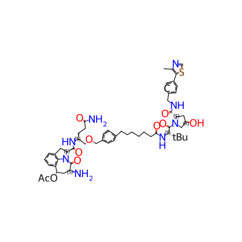 CC(=O)OC1C[C@H](N)C(=O)N2c3c(cccc31)C[C@H]2C(=O)N[C@@H](CCC(N)=O)COCc1ccc(CCCCCCC(=O)N[C@H](C(=O)N2C[C@H](O)C[C@H]2C(=O)NCc2ccc(-c3scnc3C)cc2)C(C)(C)C)cc1